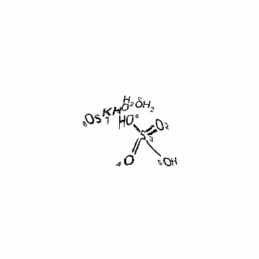 O.O.O=S(=O)(O)O.[KH].[Os]